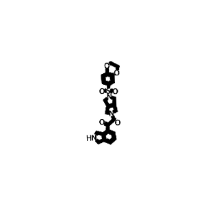 O=C(C(=O)N1CC2=C(C1)CN(S(=O)(=O)c1ccc3c(c1)OCCO3)C2)c1cccc2c1CNC2